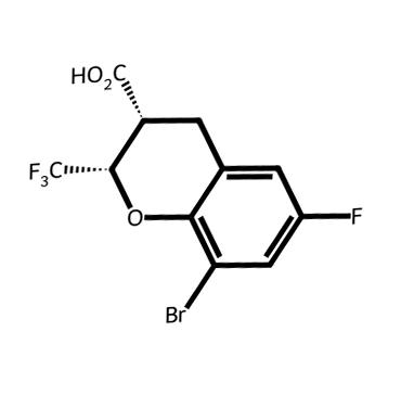 O=C(O)[C@@H]1Cc2cc(F)cc(Br)c2O[C@@H]1C(F)(F)F